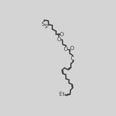 CC/C=C\C/C=C\CCCC/C=C\C/C=C\CC=C=CCC(=O)OCCCOC(=O)CCCCC1CCSS1